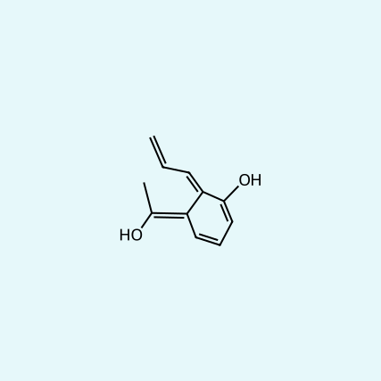 C=C/C=c1/c(O)ccc/c1=C(/C)O